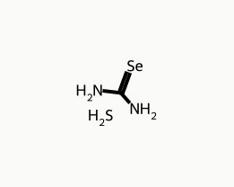 NC(N)=[Se].S